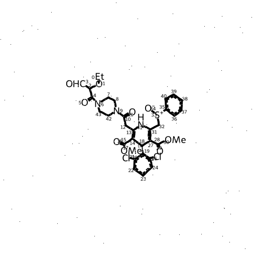 CCOC(C=O)C(=O)N1CCN(C(=O)CC2=C(C(=O)OC)[C@H](c3c(Cl)cccc3Cl)C(C(=O)OC)=C(C[S+]([O-])c3ccccc3)N2)CC1